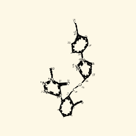 Cc1cccc(-n2nnn(C)c2=O)c1COc1ccn(-c2ccc(F)cc2)n1